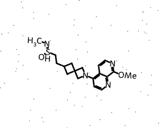 C/N=[SH](=O)/CCC1CC2(C1)CN(c1ccnc3c(OC)nccc13)C2